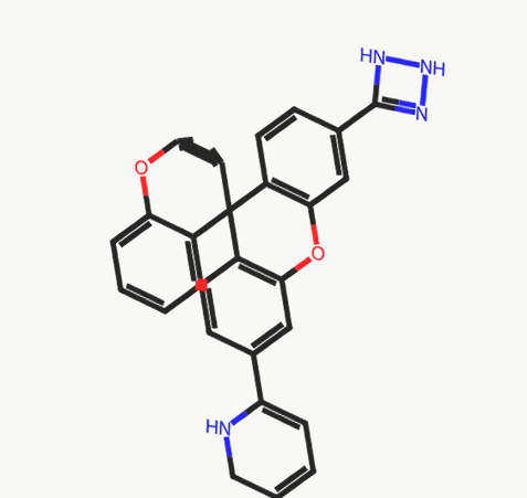 C1=CCNC(c2ccc3c(c2)Oc2cc(-c4n[nH][nH]4)ccc2C32c3ccccc3Oc3ccccc32)=C1